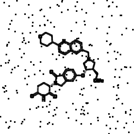 COC[C@@H]1CN(Cc2ccc3nc(C4CCOCC4)ccc3c2)C[C@H]1Oc1ccc2c(c1)CN([C@H]1CCC(=O)NC1=O)C2=O